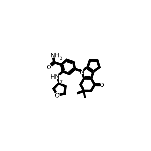 CC1(C)CC(=O)c2c3c(n(-c4ccc(C(N)=O)c(N[C@H]5CCOC5)c4)c2C1)CCC3